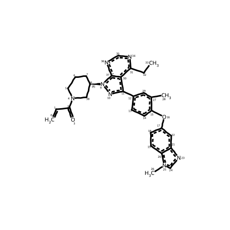 C=CC(=O)N1CCC[C@@H](n2nc(-c3ccc(Oc4ccc5c(c4)ncn5C)c(C)c3)c3c(CC)ncnc32)C1